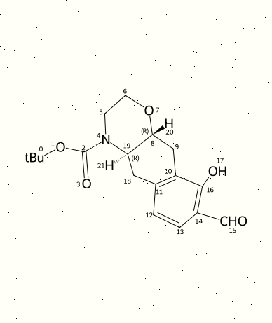 CC(C)(C)OC(=O)N1CCO[C@@H]2Cc3c(ccc(C=O)c3O)C[C@H]21